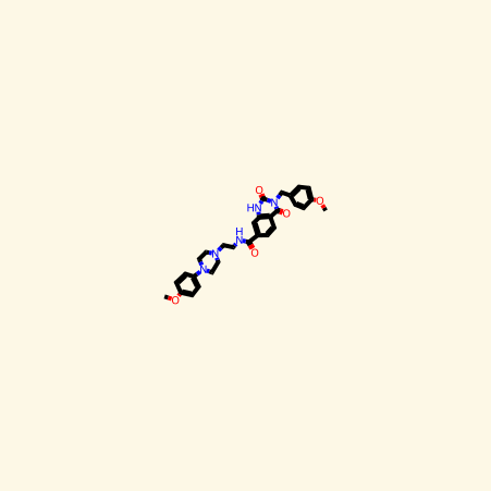 COc1ccc(Cn2c(=O)[nH]c3cc(C(=O)NCCN4CCN(c5ccc(OC)cc5)CC4)ccc3c2=O)cc1